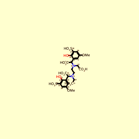 COc1cc(C(C(=O)O)N(CCN(CC(=O)O)C(C(=O)O)c2cc(OC)cc(S(=O)(=O)O)c2O)CC(=O)O)c(O)c(S(=O)(=O)O)c1